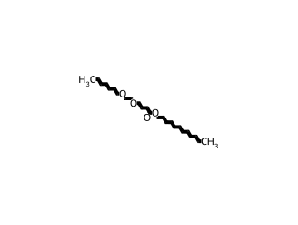 CCCCCCCCCCCCOC(=O)CCCOCCOCCCCCCC